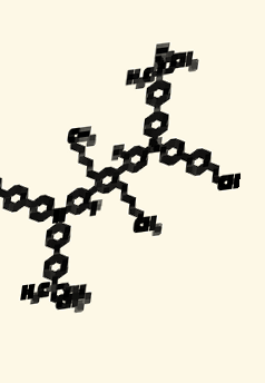 CCCCCCc1cc(-c2ccc(N(c3ccc(-c4ccc(CCC)cc4)cc3)c3ccc(-c4ccc(C(C)(CC)CC)cc4)cc3)cc2F)c(CCCCCC)cc1-c1ccc(N(c2ccc(-c3ccc(CCC)cc3)cc2)c2ccc(-c3ccc(C(C)(N)CC)cc3)cc2)cc1F